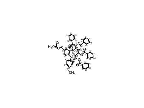 CSc1ccc(Cc2ccc(COC(C)=O)cc2[C@@]2(O)O[C@H]([C@H](C)OC(=O)c3ccccc3)[C@@H](OC(=O)c3ccccc3)[C@H](OC(=O)c3ccccc3)[C@H]2OC(=O)c2ccccc2)cc1